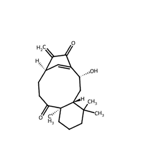 C=C1C(=O)C2=C[C@H]1CCC(=O)[C@]1(C)CCCC(C)(C)[C@H]1C[C@H]2O